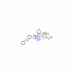 Cc1nc2cc(-c3cccc(OCc4ccccc4)c3)nn2c(N2CCC(C)CC2)c1C(OC(C)(C)C)C(=O)O